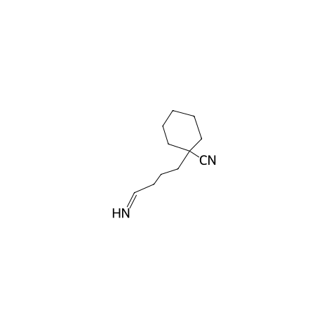 N#CC1(CCCC=N)CCCCC1